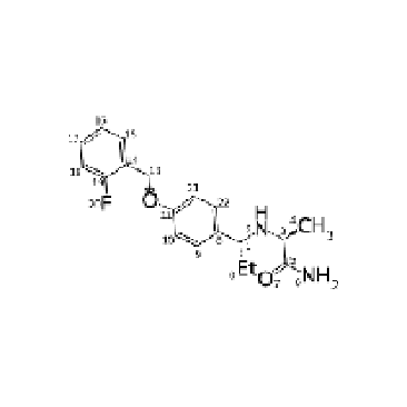 CC[C@@H](N[C@@H](C)C(N)=O)c1ccc(OCc2ccccc2F)cc1